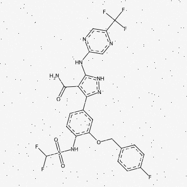 NC(=O)c1c(-c2ccc(NS(=O)(=O)C(F)F)c(OCc3ccc(F)cc3)c2)n[nH]c1Nc1cnc(C(F)(F)F)cn1